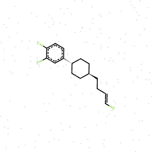 F/C=C/CC[C@H]1CC[C@H](c2ccc(F)c(F)c2)CC1